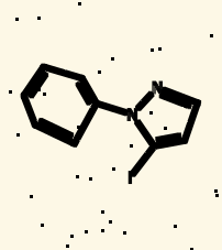 Ic1ccnn1-c1ccccc1